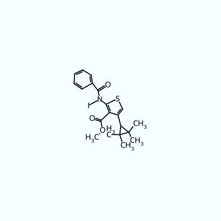 COC(=O)c1c(C2C(C)(C)C2(C)C)csc1N(I)C(=O)c1ccccc1